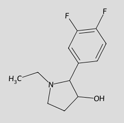 CCN1CCC(O)C1c1ccc(F)c(F)c1